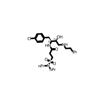 CCCN(CCC)S(=O)(=O)CCC(=O)N[C@@H](Cc1ccc(Cl)cc1)[C@@H](O)CNCCC(C)C